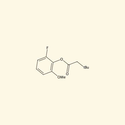 COc1cccc(F)c1OC(=O)CC(C)(C)C